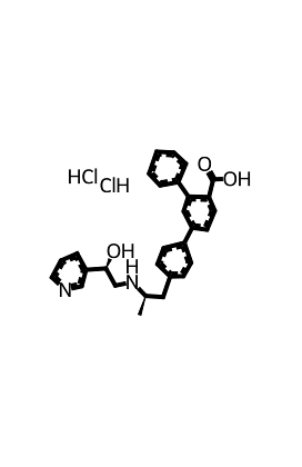 C[C@H](Cc1ccc(-c2ccc(C(=O)O)c(-c3ccccc3)c2)cc1)NC[C@H](O)c1cccnc1.Cl.Cl